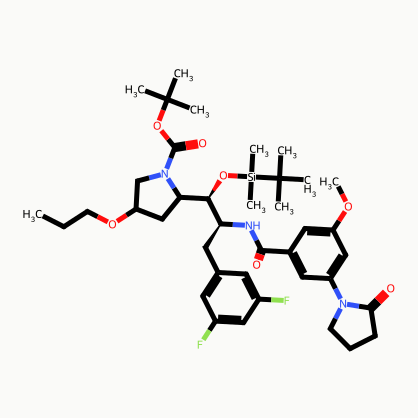 CCCOC1CC([C@@H](O[Si](C)(C)C(C)(C)C)[C@H](Cc2cc(F)cc(F)c2)NC(=O)c2cc(OC)cc(N3CCCC3=O)c2)N(C(=O)OC(C)(C)C)C1